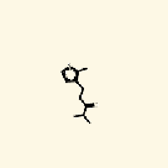 Cc1sccc1CCC(=O)C(C)C